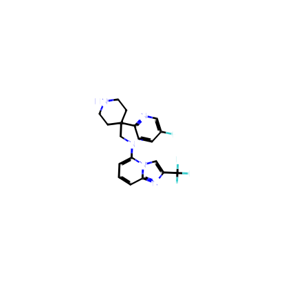 Fc1ccc(C2(CNc3cccc4nc(C(F)(F)F)cn34)CCNCC2)nc1